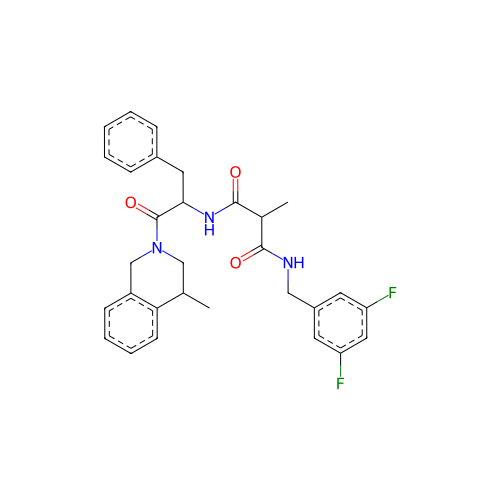 CC(C(=O)NCc1cc(F)cc(F)c1)C(=O)NC(Cc1ccccc1)C(=O)N1Cc2ccccc2C(C)C1